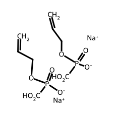 C=CCOP(=O)([O-])C(=O)O.C=CCOP(=O)([O-])C(=O)O.[Na+].[Na+]